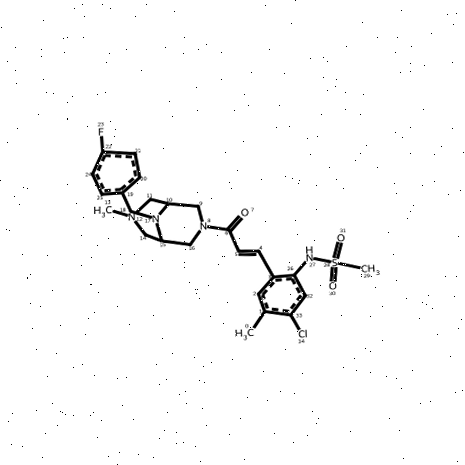 Cc1cc(C=CC(=O)N2CC3CN(C)CC(C2)N3Cc2ccc(F)cc2)c(NS(C)(=O)=O)cc1Cl